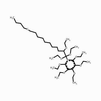 CCCCCCCCCCCCCCC(OCC)C(OCC)(OCC)[n+]1c(OCC)c(OCC)c(OCC)c(OCC)c1OCC